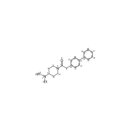 CCCN(CC)C1CCN(C(=O)Cc2ccc(-c3ccccc3)cc2)CC1